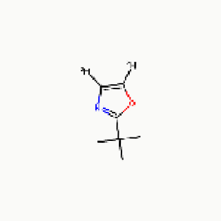 [2H]c1nc(C(C)(C)C)oc1[2H]